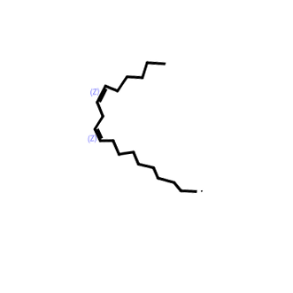 [CH2]CCCCCCCC/C=C\C/C=C\CCCCC